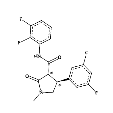 CN1C[C@H](c2cc(F)cc(F)c2)[C@@H](C(=O)Nc2cccc(F)c2F)C1=O